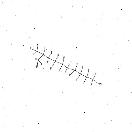 OC(F)(F)C(F)(F)C(F)(F)C(F)(F)C(F)(F)C(F)(F)C(F)(F)C(F)(F)C(F)(C(F)(F)F)C(F)(F)F